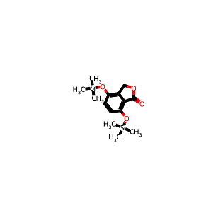 C[Si](C)(C)Oc1ccc(O[Si](C)(C)C)c2c1COC2=O